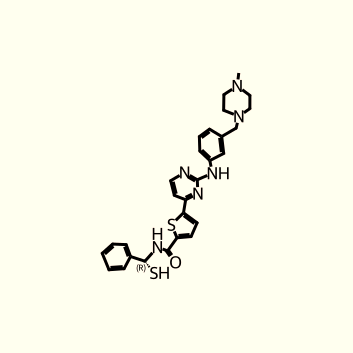 CN1CCN(Cc2cccc(Nc3nccc(-c4ccc(C(=O)N[C@H](S)c5ccccc5)s4)n3)c2)CC1